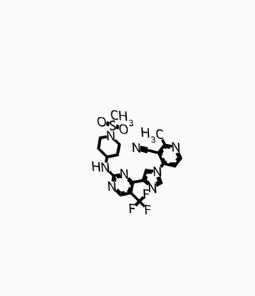 Cc1nccc(-n2cnc(-c3nc(NC4CCN(S(C)(=O)=O)CC4)ncc3C(F)(F)F)c2)c1C#N